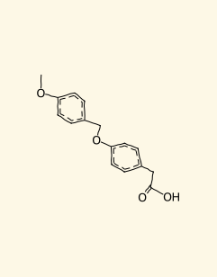 COc1ccc(COc2ccc(CC(=O)O)cc2)cc1